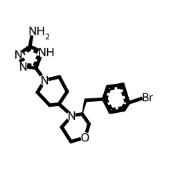 Nc1nnc(N2CCC(N3CCOC[C@@H]3Cc3ccc(Br)cc3)CC2)[nH]1